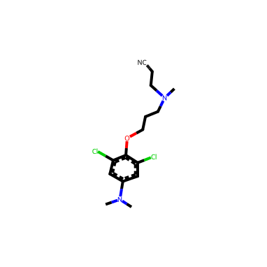 CN(CCC#N)CCCOc1c(Cl)cc(N(C)C)cc1Cl